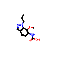 CCCn1ncc2ccc(NC(=O)O)c(OC)c21